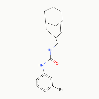 CCc1cccc(NC(=O)NCC2C=C3CCCC(C3)C2)c1